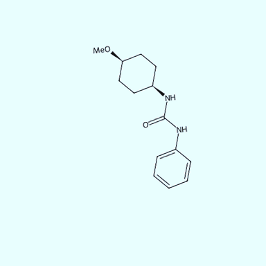 CO[C@H]1CC[C@@H](NC(=O)Nc2ccccc2)CC1